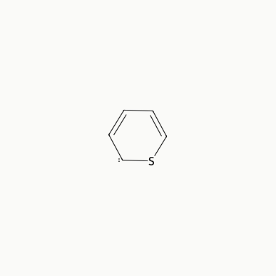 [C]1C=CC=CS1